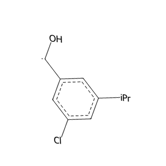 CC(C)c1cc(Cl)cc([CH]O)c1